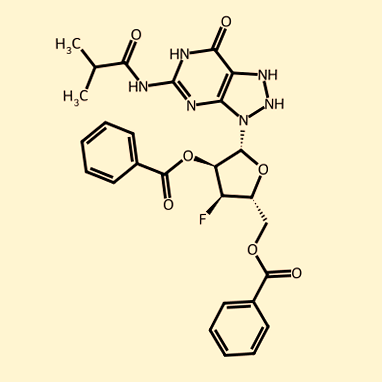 CC(C)C(=O)Nc1nc2c(c(=O)[nH]1)NNN2[C@@H]1O[C@H](COC(=O)c2ccccc2)[C@@H](F)[C@H]1OC(=O)c1ccccc1